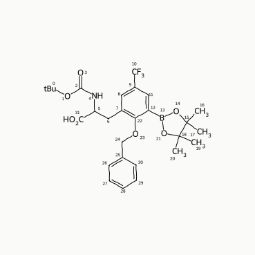 CC(C)(C)OC(=O)NC(Cc1cc(C(F)(F)F)cc(B2OC(C)(C)C(C)(C)O2)c1OCc1ccccc1)C(=O)O